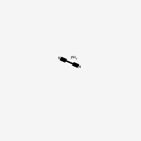 N#CC#N.P